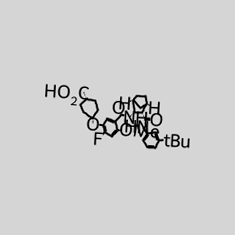 COc1cc(F)c(O[C@H]2CC[C@@H](C(=O)O)CC2)cc1C(=O)N[C@@H]1[C@H]2CC[C@H](C2)[C@@H]1C(=O)Nc1cccc(C(C)(C)C)c1